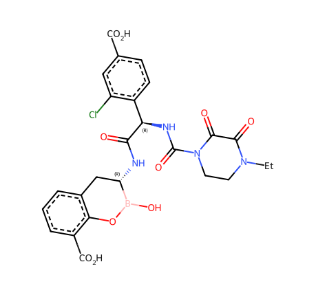 CCN1CCN(C(=O)N[C@@H](C(=O)N[C@H]2Cc3cccc(C(=O)O)c3OB2O)c2ccc(C(=O)O)cc2Cl)C(=O)C1=O